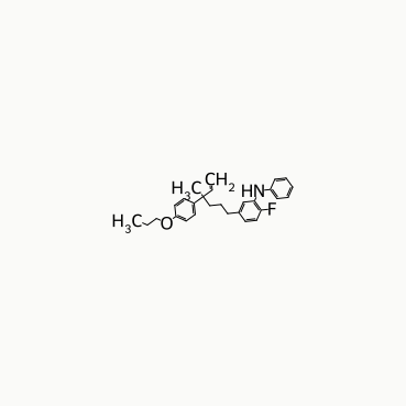 C=CC(C)(CCCc1ccc(F)c(Nc2ccccc2)c1)c1ccc(OCCC)cc1